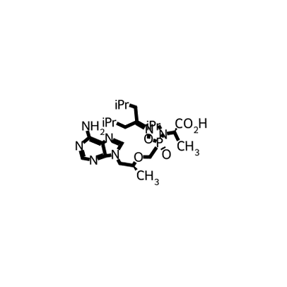 CC(C)CC(CC(C)C)=NOP(=O)(CO[C@@H](C)Cn1cnc2c(N)ncnc21)N(C(C)C)[C@@H](C)C(=O)O